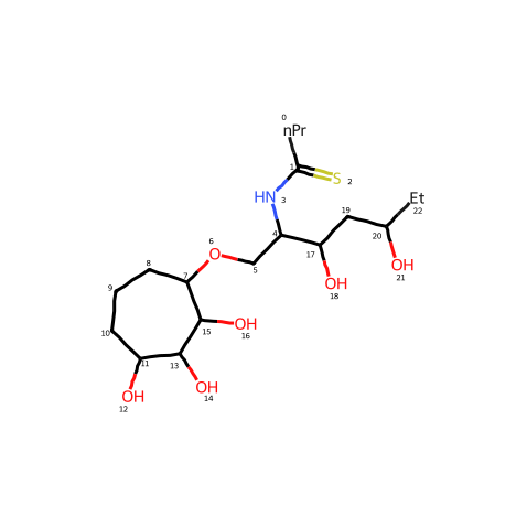 CCCC(=S)NC(COC1CCCC(O)C(O)C1O)C(O)CC(O)CC